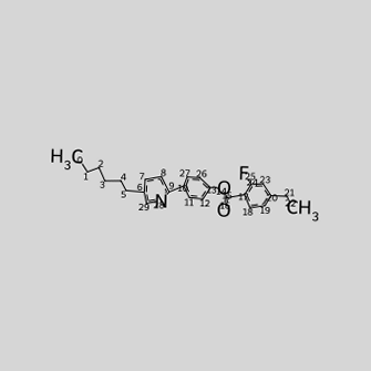 CCCCCCc1ccc(-c2ccc(OC(=O)c3ccc(CC)cc3F)cc2)nc1